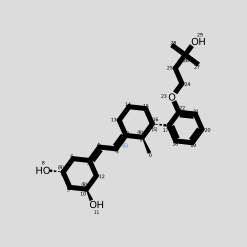 C[C@H]1/C(=C/C=C2C[C@@H](O)C[C@H](O)C2)CCC[C@@H]1c1ccccc1OCCC(C)(C)O